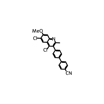 COc1cc2nc(C)c(-c3ccc(-c4ccc(C#N)cc4)cc3)c(Cl)c2cc1Cl